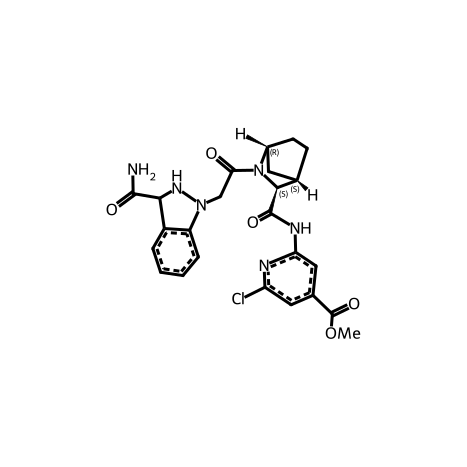 COC(=O)c1cc(Cl)nc(NC(=O)[C@@H]2[C@H]3CC[C@H](C3)N2C(=O)CN2NC(C(N)=O)c3ccccc32)c1